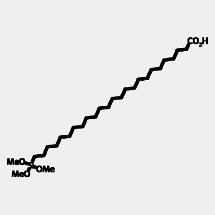 CO[Si](CCCCCCCCCCCCCCCCCCCCCCCCC(=O)O)(OC)OC